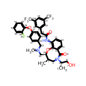 C[C@@H]1CN([C@@H](C)CO)C(=O)c2cccc(NC(=O)Cc3cc(C(F)(F)F)cc(C(F)(F)F)c3)c2O[C@@H]1CN(C)Cc1ccc(Oc2ccccc2F)cc1